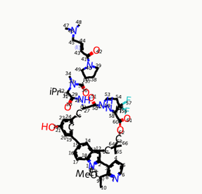 CCn1c(-c2cccnc2[C@H](C)OC)c2c3cc(ccc31)-c1cc(O)cc(c1)C[C@H](NC(=O)[C@H](C(C)C)N(C)C(=O)[C@H]1CCN(C(=O)/C=C/CN(C)C)C1)C(=O)N1CCC(F)(F)[C@H](N1)C(=O)OCC(C)(C)C2